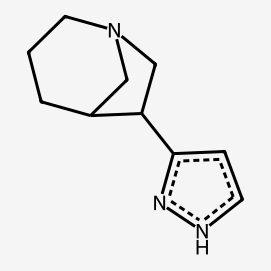 c1cc(C2CN3CCCC2C3)n[nH]1